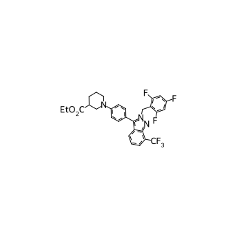 CCOC(=O)C1CCCN(c2ccc(-c3c4cccc(C(F)(F)F)c4nn3Cc3c(F)cc(F)cc3F)cc2)C1